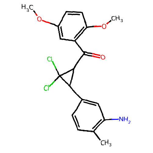 COc1ccc(OC)c(C(=O)C2C(c3ccc(C)c(N)c3)C2(Cl)Cl)c1